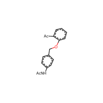 CC(=O)Nc1ccc(COc2ccccc2C(C)=O)cc1